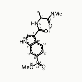 CNC(=O)C(C)NC(=O)c1c[nH]c2cc([N+](=O)OC)ccc12